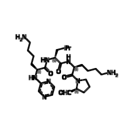 CC(C)C[C@H](NC(=O)[C@H](CCCCN)Nc1cnccn1)C(=O)N[C@@H](CCCCN)C(=O)N1CCC[C@H]1C=O